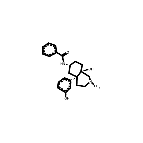 CN1CC[C@@]2(c3cccc(O)c3)C[C@H](NC(=O)c3ccccc3)CC[C@]2(O)C1